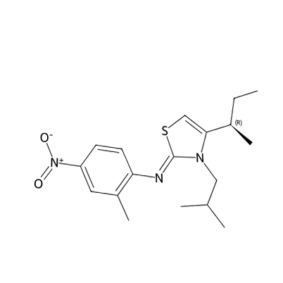 CC[C@@H](C)c1csc(=Nc2ccc([N+](=O)[O-])cc2C)n1CC(C)C